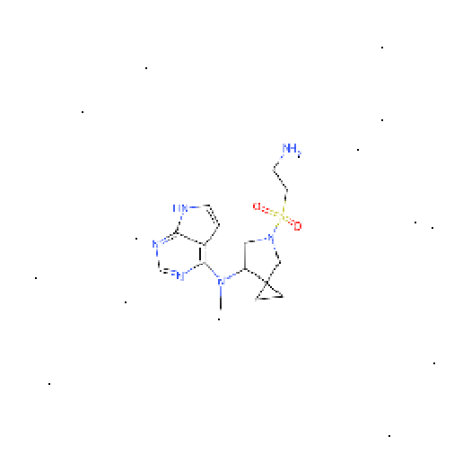 CN(c1ncnc2[nH]ccc12)C1CN(S(=O)(=O)CCN)CC12CC2